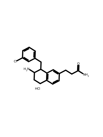 Cl.NC(=O)CCc1ccc2c(c1)C(Cc1cccc(Cl)c1)C(N)CC2